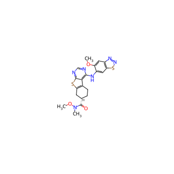 COc1cc2nnsc2cc1Nc1ncnc2sc3c(c12)CC[C@H](C(=O)N(C)OC)C3